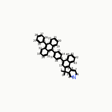 CC1(C)c2cnccc2-c2c1cc(-c1ccc(-c3c4ccccc4c(-c4ccccc4)c4ccccc34)cc1)c1ccccc21